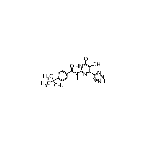 CC(C)(C)c1ccc(C(=O)Nc2nc(-c3nn[nH]n3)c(O)c(=O)[nH]2)cc1